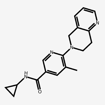 Cc1cc(C(=O)NC2CC2)cnc1N1CCc2ncccc2C1